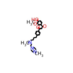 COc1c(O)ccc2c(=O)cc(-c3ccc(CCCCN(C)CCN4CCN(C)CC4)cc3)oc12